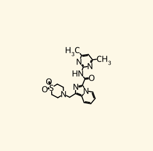 Cc1cc(C)nc(NC(=O)c2nc(CN3CCS(=O)(=O)CC3)c3ccccn23)n1